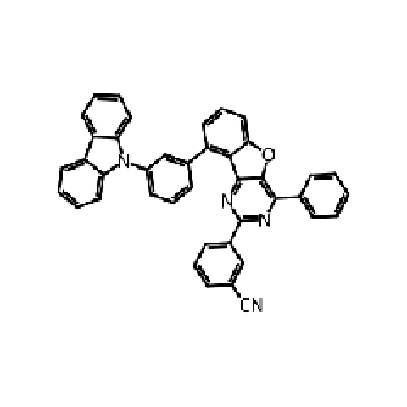 N#Cc1cccc(-c2nc(-c3ccccc3)c3oc4cccc(-c5cccc(-n6c7ccccc7c7ccccc76)c5)c4c3n2)c1